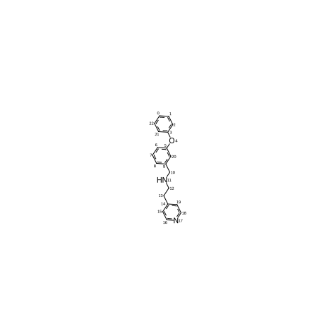 c1ccc(Oc2cccc(CNCCc3ccncc3)c2)cc1